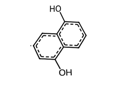 Oc1cccc2c(O)c[c]cc12